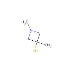 CN1CC(C)(S)C1